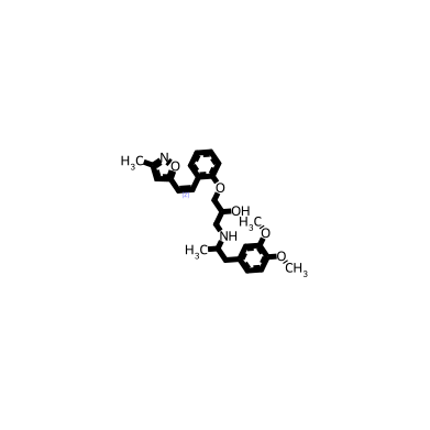 COc1ccc(CC(C)NCC(O)COc2ccccc2/C=C\c2cc(C)no2)cc1OC